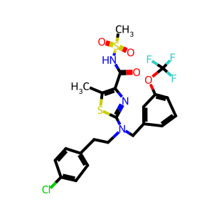 Cc1sc(N(CCc2ccc(Cl)cc2)Cc2cccc(OC(F)(F)F)c2)nc1C(=O)NS(C)(=O)=O